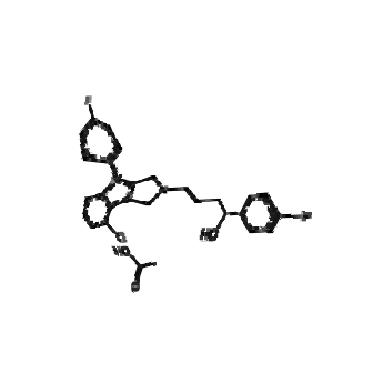 CC(=O)O.OC(CCCN1Cc2c(n(-c3ccc(F)cc3)c3cccc(Cl)c23)C1)c1ccc(F)cc1